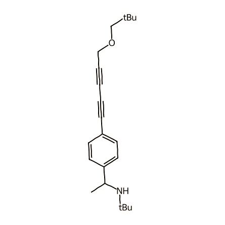 CC(NC(C)(C)C)c1ccc(C#CC#CCOCC(C)(C)C)cc1